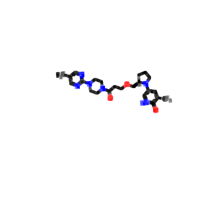 O=C(CCOC[C@H]1CCCN1c1c[nH]c(=O)c(C(F)(F)F)c1)N1CCN(c2ncc(C(F)(F)F)cn2)CC1